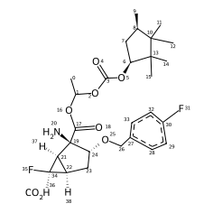 CC(OC(=O)O[C@H]1C[C@@H](C)C(C)(C)C1(C)C)OC(=O)[C@@]1(N)[C@H]2[C@@H](C[C@H]1OCc1ccc(F)cc1)[C@]2(F)C(=O)O